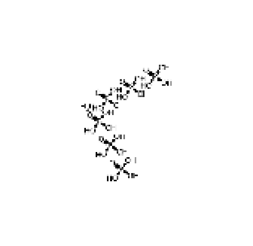 C.O=P(O)(O)O.O=P(O)(O)O.O=P(O)(O)O.O=P(O)(O)O.O=P(O)(O)O.O=P(O)(O)O